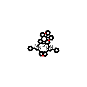 c1ccc(-c2cc(-c3ccccc3)nc(-c3ccc4c5c3sc3c(-c6nc(-c7ccccc7)cc(-c7ccccc7)n6)ccc(c35)C(c3ccccc3)(c3ccccc3)c3ccccc3-4)n2)cc1